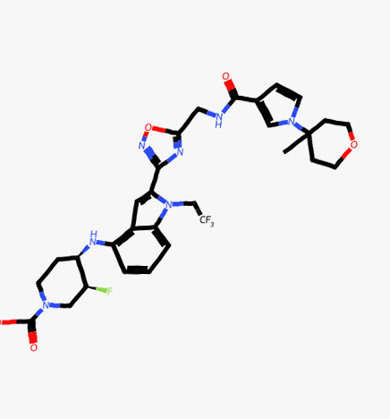 CC(C)(C)OC(=O)N1CC[C@@H](Nc2cccc3c2cc(-c2noc(CNC(=O)c4ccn(C5(C)CCOCC5)c4)n2)n3CC(F)(F)F)[C@@H](F)C1